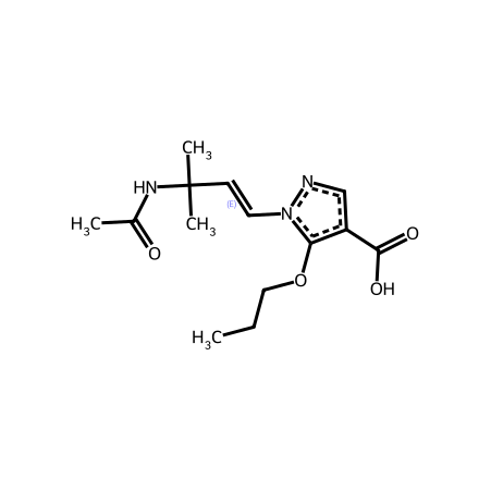 CCCOc1c(C(=O)O)cnn1/C=C/C(C)(C)NC(C)=O